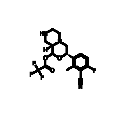 Cc1c([C@H]2CN3CCNC[C@H]3C(OC(=O)C(F)(F)F)O2)ccc(F)c1C#N